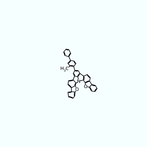 Cc1cc(-c2ccccc2)ccc1-c1cc2c3ccc4c5ccccc5oc4c3n3c2c(c1)c1ccc2c4ccccc4oc2c13